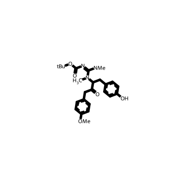 CN/C(=N/C(=O)OC(C)(C)C)N(C)C(Cc1ccc(O)cc1)C(=O)Cc1ccc(OC)cc1